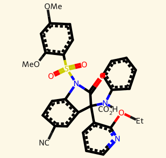 CCOc1ncccc1C1(N(C(=O)O)c2ccccc2)C(=O)N(S(=O)(=O)c2ccc(OC)cc2OC)c2ccc(C#N)cc21